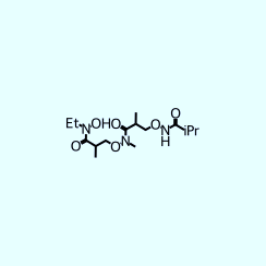 CCN(O)C(=O)C(C)CON(C)C(=O)C(C)CONC(=O)C(C)C